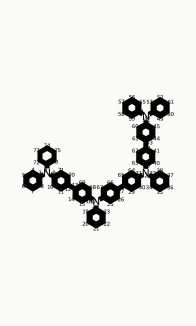 C1=C(N(c2ccccc2)c2ccc(-c3ccc(N(c4ccccc4)c4ccc(-c5ccc(N(c6ccccc6)c6ccc(-c7ccc(N(c8ccccc8)c8ccccc8)cc7)cc6)cc5)cc4)cc3)cc2)CCCC1